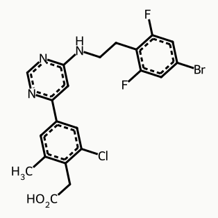 Cc1cc(-c2cc(NCCc3c(F)cc(Br)cc3F)ncn2)cc(Cl)c1CC(=O)O